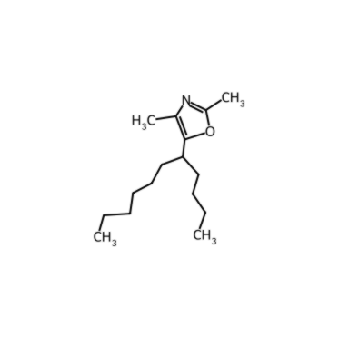 CCCCCCC(CCCC)c1oc(C)nc1C